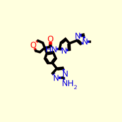 Cn1cnc(-c2ccc(NC(=O)C3(c4ccc(-c5cnc(N)nc5)cc4)CCOCC3)nc2)c1